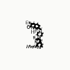 CCc1cc2ccc(CN3CCN(c4cc5ccnc(NC)c5nc4F)CC3)c(F)c2[nH]c1=O